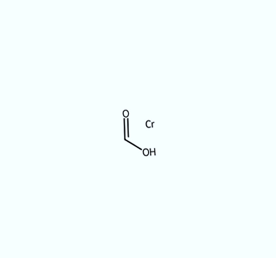 O=CO.[Cr]